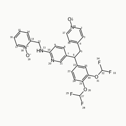 [O-][n+]1ccc(CC(c2ccc(NCc3cccc[n+]3[O-])nc2)c2ccc(OC(F)F)c(OC(F)F)c2)cc1